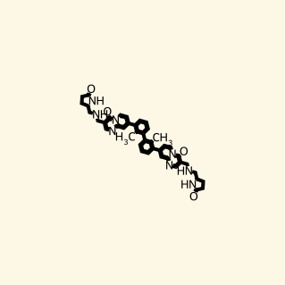 Cc1c(-c2ccn3c(=O)c(CNCC4CCC(=O)N4)cnc3c2)cccc1-c1cccc(-c2ccn3c(=O)c(CNCC4CCC(=O)N4)cnc3c2)c1C